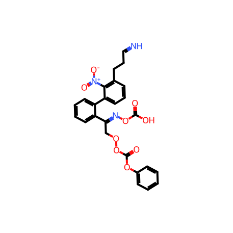 N=CCCc1cccc(-c2ccccc2C(COOC(=O)Oc2ccccc2)=NOC(=O)O)c1[N+](=O)[O-]